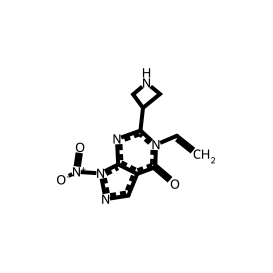 C=Cn1c(C2CNC2)nc2c(cnn2[N+](=O)[O-])c1=O